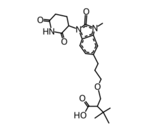 Cn1c(=O)n(C2CCC(=O)NC2=O)c2ccc(CCCOCC(C(=O)O)C(C)(C)C)cc21